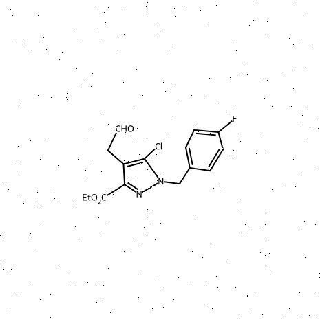 CCOC(=O)c1nn(Cc2ccc(F)cc2)c(Cl)c1CC=O